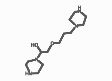 OC(COCCCN1CCNCC1)N1CCNCC1